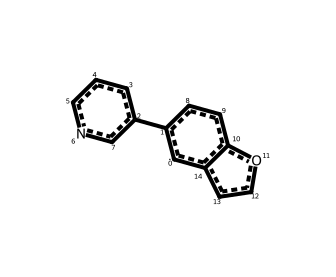 [c]1c(-c2cccnc2)ccc2occc12